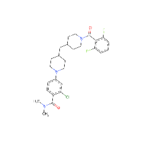 CN(C)C(=O)c1ccc(N2CCC(CC3CCN(C(=O)c4c(F)cccc4F)CC3)CC2)cc1Cl